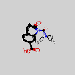 CN(C)C(=O)n1c(=O)ccc2ccc(C(=O)O)cc21